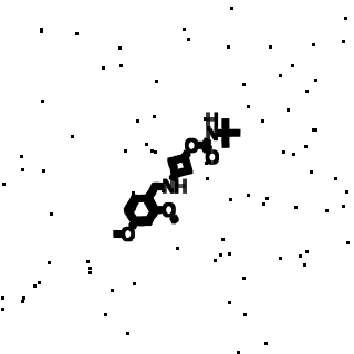 COc1ccc(CNC2CC(OC(=O)NC(C)(C)C)C2)c(OC)c1